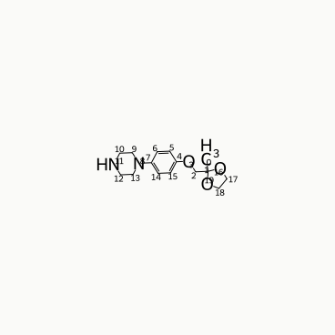 CC1(COc2ccc(N3CCNCC3)cc2)OCCO1